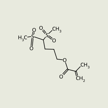 C=C(C)C(=O)OCCCC(S(C)(=O)=O)S(C)(=O)=O